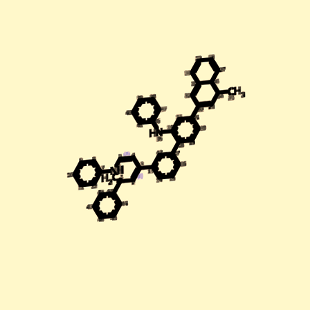 C=C(/C=C(\C=C/Nc1ccccc1)c1cccc(-c2ccc(C3=CC(C)C4C=CC=CC4=C3)cc2Nc2ccccc2)c1)c1ccccc1